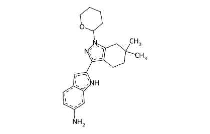 CC1(C)CCc2c(-c3cc4ccc(N)cc4[nH]3)nn(C3CCCCO3)c2C1